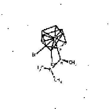 C[C@@H](N(C)C)[C@@]12[CH]3[CH]4[CH]5[C]1(Br)[Fe]45321678[CH]2[CH]1[CH]6[C]7(Br)[CH]28